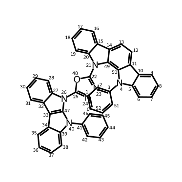 c1ccc(-n2c3ccccc3c3ccc4c5ccccc5n(-c5nnc(-n6c7ccccc7c7c8ccccc8n(-c8ccccc8)c76)o5)c4c32)cc1